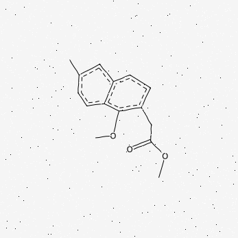 COC(=O)Cc1ccc2cc(C)ccc2c1OC